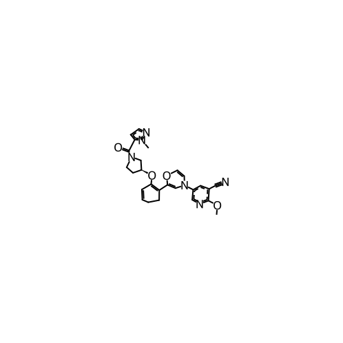 COc1ncc(N2C=COC(C3=C(O[C@H]4CCN(C(=O)c5ccnn5C)C4)C=CCC3)=C2)cc1C#N